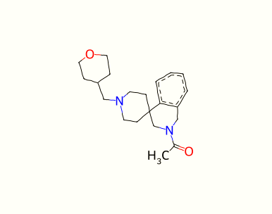 CC(=O)N1Cc2ccccc2C2(CCN(CC3CCOCC3)CC2)C1